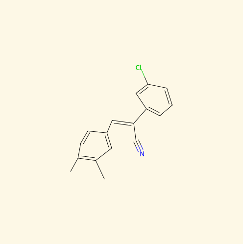 Cc1ccc(C=C(C#N)c2cccc(Cl)c2)cc1C